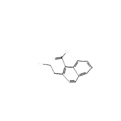 NC(=O)c1c(CCO)ccc2ccccc12